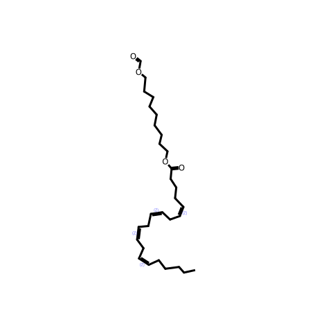 CCCCC/C=C\C/C=C\C/C=C\C/C=C\CCCC(=O)OCCCCCCCCCOC=O